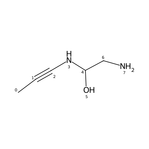 CC#CNC(O)CN